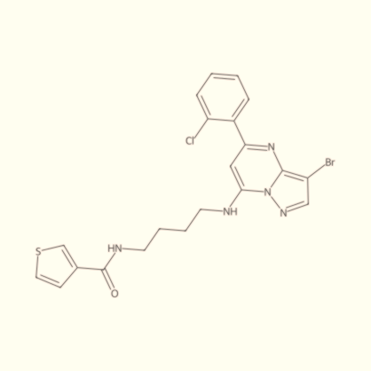 O=C(NCCCCNc1cc(-c2ccccc2Cl)nc2c(Br)cnn12)c1ccsc1